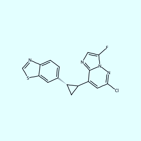 Fc1cnc2c(C3C[C@@H]3c3ccc4ncsc4c3)cc(Cl)nn12